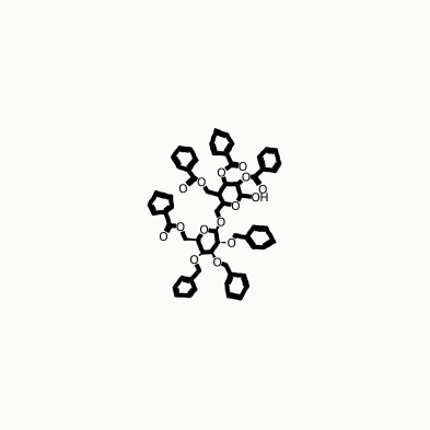 O=C(OCC1C(CO[C@@H]2O[C@H](COC(=O)c3ccccc3)[C@@H](OCc3ccccc3)[C@H](OCc3ccccc3)[C@H]2OCc2ccccc2)OC(O)C(OC(=O)c2ccccc2)C1OC(=O)c1ccccc1)c1ccccc1